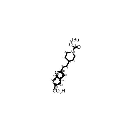 CC(C)(C)OC(=O)N1CCC(CCc2cc3cc(C(=O)O)sc3o2)CC1